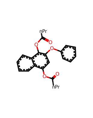 CCCC(=O)Oc1cc(Oc2ccccc2)c(OC(=O)CCC)c2ccccc12